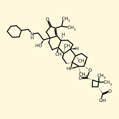 CC(C)C1=C2[C@H]3CC[C@@H]4[C@@]5(C)CC[C@H](OC(=O)[C@H]6C[C@@H](C(=O)O)C6(C)C)[C@@]6(C)P[C@@]56CC[C@@]4(C)[C@]3(C)CC[C@@]2([C@@H](O)CNCC2CCCCC2)CC1=O